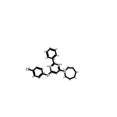 Clc1ccc(Sc2cc(N3CCCCCC3)nc(-c3ccccc3)n2)cc1